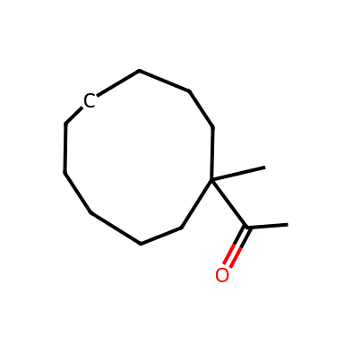 CC(=O)C1(C)CCCCCCCCC1